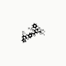 Cc1cc(Oc2ccc(NC(=O)c3cn(C(C)C)c(=O)n(-c4ccccc4C)c3=O)cc2F)n2nccc2n1